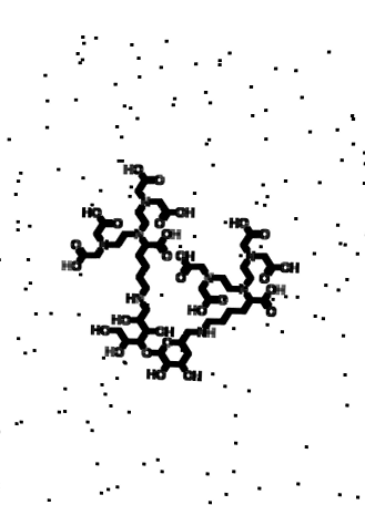 O=C(O)CN(CCN(CCN(CC(=O)O)CC(=O)O)C(CCCCNCC1CC(O)C(O)C(OC(C(O)CO)C(O)C(O)CNCCCCC(C(=O)O)N(CCN(CC(=O)O)CC(=O)O)CCN(CC(=O)O)CC(=O)O)O1)C(=O)O)CC(=O)O